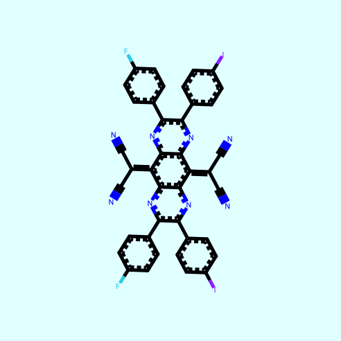 N#CC(C#N)=c1c2nc(-c3ccc(F)cc3)c(-c3ccc(I)cc3)nc2c(=C(C#N)C#N)c2nc(-c3ccc(I)cc3)c(-c3ccc(F)cc3)nc12